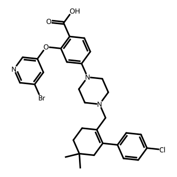 CC1(C)CCC(CN2CCN(c3ccc(C(=O)O)c(Oc4cncc(Br)c4)c3)CC2)=C(c2ccc(Cl)cc2)C1